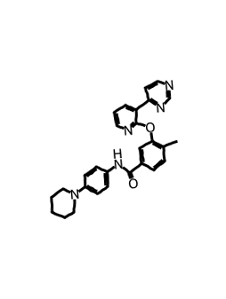 Cc1ccc(C(=O)Nc2ccc(N3CCCCC3)cc2)cc1Oc1ncccc1-c1ccncn1